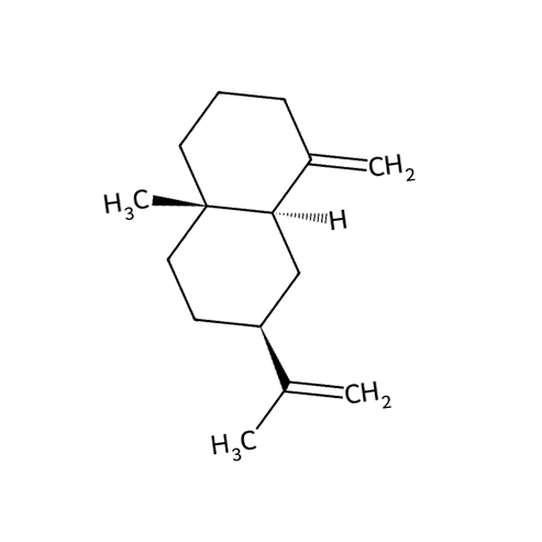 C=C(C)[C@H]1CC[C@]2(C)CCCC(=C)[C@H]2C1